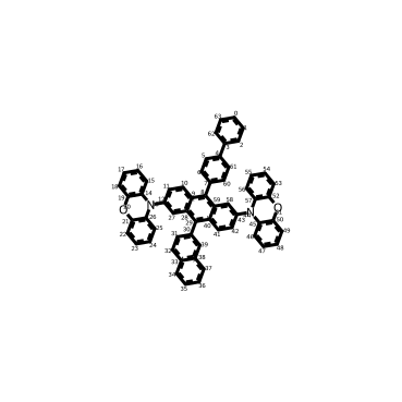 c1ccc(-c2ccc(-c3c4ccc(N5c6ccccc6Oc6ccccc65)cc4c(-c4ccc5ccccc5c4)c4ccc(N5c6ccccc6Oc6ccccc65)cc34)cc2)cc1